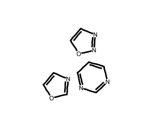 c1cncnc1.c1cocn1.c1conn1